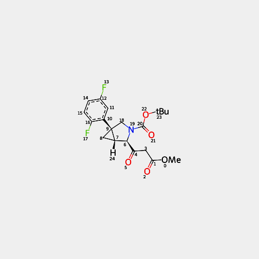 COC(=O)CC(=O)[C@H]1[C@@H]2C[C@]2(c2cc(F)ccc2F)CN1C(=O)OC(C)(C)C